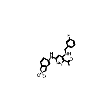 CC(=O)c1nnc(Nc2ccc3c(c2)CS(=O)(=O)C3)cc1NCc1cccc(F)c1